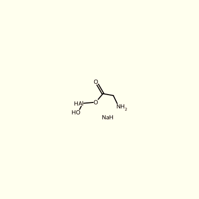 NCC(=O)[O][AlH][OH].[NaH]